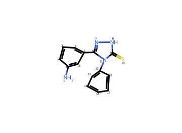 Nc1cccc(-c2n[nH]c(=S)n2-c2ccccc2)c1